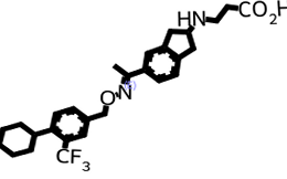 C/C(=N\OCc1ccc(C2CCCCC2)c(C(F)(F)F)c1)c1ccc2c(c1)CC(NCCC(=O)O)C2